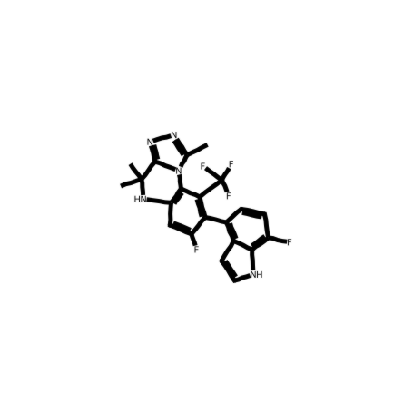 Cc1nnc2n1-c1c(cc(F)c(-c3ccc(F)c4[nH]ccc34)c1C(F)(F)F)NC2(C)C